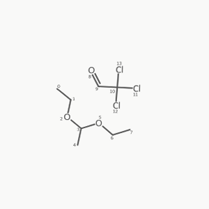 CCOC(C)OCC.O=CC(Cl)(Cl)Cl